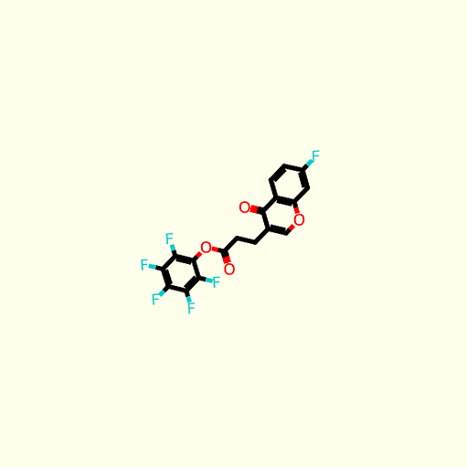 O=C(CCc1coc2cc(F)ccc2c1=O)Oc1c(F)c(F)c(F)c(F)c1F